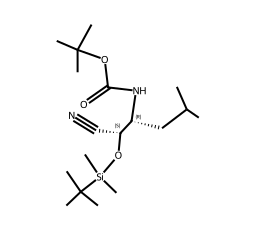 CC(C)C[C@@H](NC(=O)OC(C)(C)C)[C@@H](C#N)O[Si](C)(C)C(C)(C)C